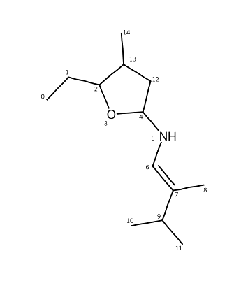 CCC1OC(N/C=C(\C)C(C)C)CC1C